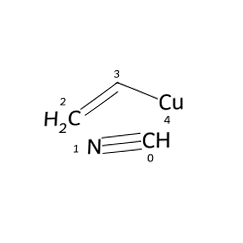 C#N.C=[CH][Cu]